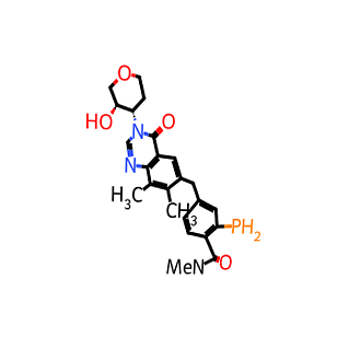 CNC(=O)c1ccc(Cc2cc3c(=O)n([C@H]4CCOC[C@@H]4O)cnc3c(C)c2C)cc1P